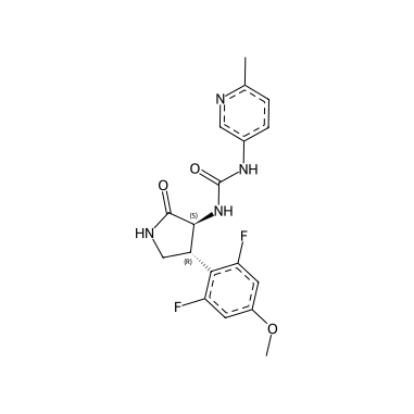 COc1cc(F)c([C@@H]2CNC(=O)[C@H]2NC(=O)Nc2ccc(C)nc2)c(F)c1